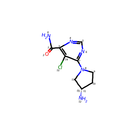 NC(=O)c1ncnc(N2CC[C@H](N)C2)c1Cl